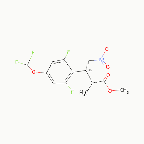 COC(=O)C(C)[C@@H](C[N+](=O)[O-])c1c(F)cc(OC(F)F)cc1F